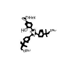 CCCCCCOc1ccc(-c2nc(-c3ccc(C(C)(C)CC(C)(C)C)cc3)nc(-c3ccc(C(C)(C)CC(C)(C)C)cc3)n2)c(O)c1